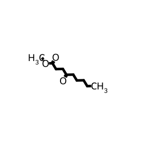 CCCCCC(=O)CCC(=O)OC